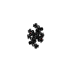 C=C(C)C(=O)OC1CCCC(NC(=O)C(Cc2ccccc2)N2C(=O)c3cc(Oc4cccc(C(F)(F)F)c4)c4c5c(Oc6cccc(C(F)(F)F)c6)cc6c7c(cc(Oc8cccc(C(F)(F)F)c8)c(c8c(Oc9cccc(C(F)(F)F)c9)cc(c3c48)C2=O)c75)C(=O)N(C(Cc2ccccc2)C(=O)NC2CCCC(OC(=O)C(=C)C)C2)C6=O)C1